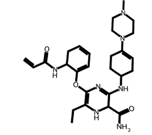 C=CC(=O)NC1CC=CC=C1OC1=C(CC)NC(C(N)=O)C(NC2CC=C(N3CCN(C)CC3)CC2)=N1